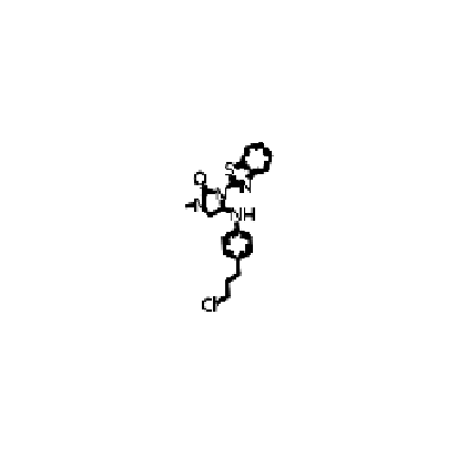 CN1CC(Nc2ccc(CCCCl)cc2)N(c2nc3ccccc3s2)C1=O